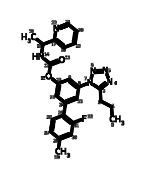 CCCc1nnnn1-c1cc(OC(=O)NC(C)c2ccccn2)cc(-c2ccc(C)cc2F)c1